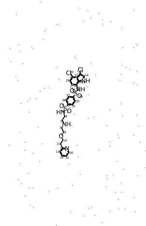 O=S(=O)(NCCNCCOCCc1ccccn1)c1ccc(S(=O)(=O)Nc2ccc(Cl)c3c(Cl)c[nH]c23)cc1